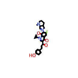 COc1c(N2CC3CCCN(C)C3C2)c(F)cc2c(=O)c(C(=O)/C=C/c3ccc(O)cc3)cn(C3CC3)c12